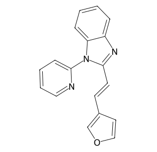 C(=Cc1nc2ccccc2n1-c1ccccn1)c1ccoc1